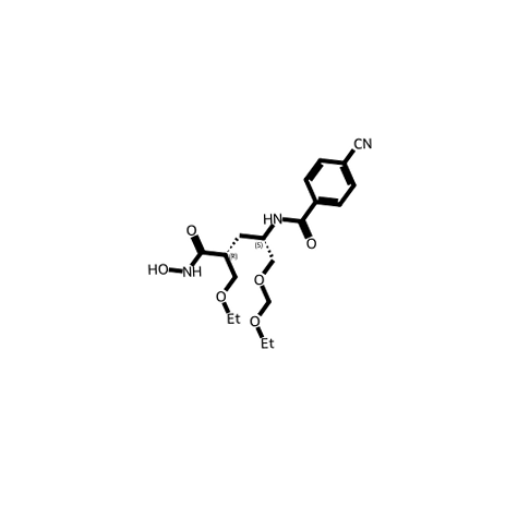 CCOCOC[C@H](C[C@H](COCC)C(=O)NO)NC(=O)c1ccc(C#N)cc1